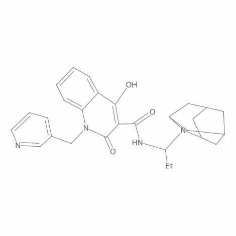 CCC(NC(=O)c1c(O)c2ccccc2n(Cc2cccnc2)c1=O)N1C2CC3CC(C2)CC1C3